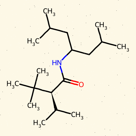 CC(C)CC(CC(C)C)NC(=O)[C@@H](C(C)C)C(C)(C)C